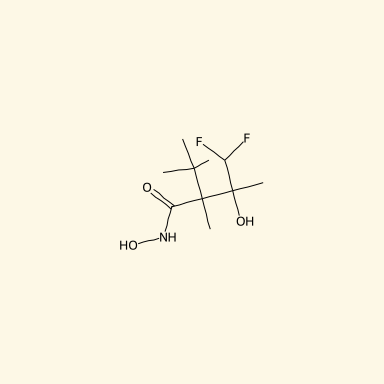 CC(C)(C)C(C)(C(=O)NO)C(C)(O)C(F)F